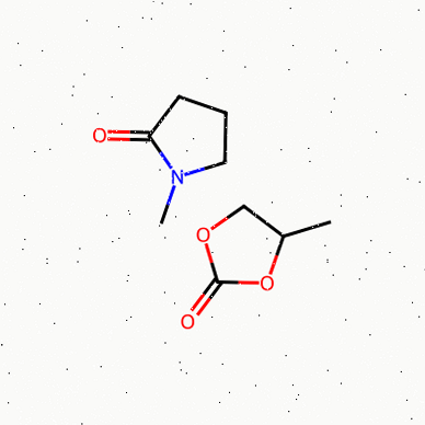 CC1COC(=O)O1.CN1CCCC1=O